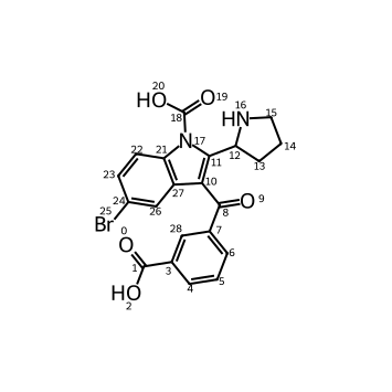 O=C(O)c1cccc(C(=O)c2c(C3CCCN3)n(C(=O)O)c3ccc(Br)cc23)c1